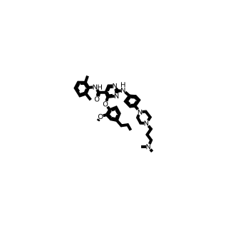 CCCc1ccc(Oc2nc(Nc3ccc(N4CCN(CCCN(C)C)CC4)cc3)ncc2C(=O)Nc2c(C)cccc2C)c(OC)c1